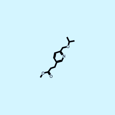 COC(=O)CCc1ccc(COC(C)C)nc1